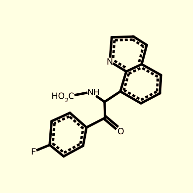 O=C(O)NC(C(=O)c1ccc(F)cc1)c1cccc2cccnc12